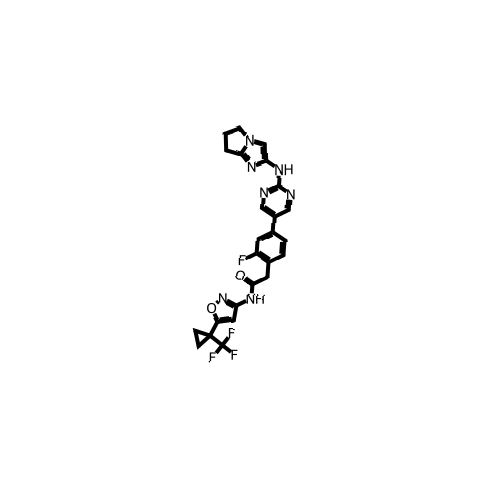 O=C(Cc1ccc(-c2cnc(Nc3cn4c(n3)CCC4)nc2)cc1F)Nc1cc(C2(C(F)(F)F)CC2)on1